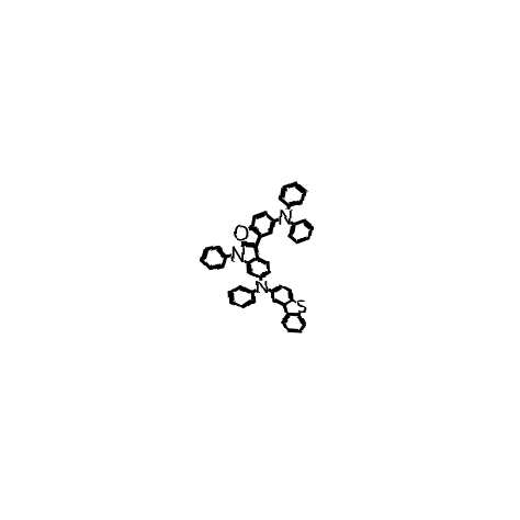 c1ccc(N(c2ccccc2)c2ccc3oc4c(c3c2)c2ccc(N(c3ccccc3)c3ccc5sc6ccccc6c5c3)cc2n4-c2ccccc2)cc1